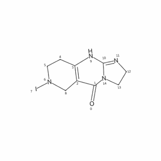 O=C1C2=C(CCN(I)C2)NC2=NCCN12